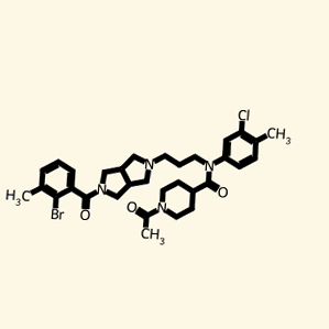 CC(=O)N1CCC(C(=O)N(CCCN2CC3CN(C(=O)c4cccc(C)c4Br)CC3C2)c2ccc(C)c(Cl)c2)CC1